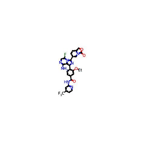 CCOc1cc(C(=O)Nc2cc(C(F)(F)F)ccn2)ccc1-c1nc(-c2ccc3coc(=O)n3c2)n2c(F)cnc(N)c12